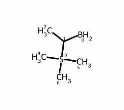 BC(C)S(C)(C)C